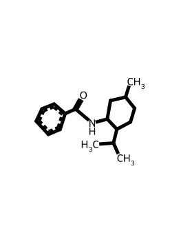 CC1CCC(C(C)C)C(NC(=O)c2ccccc2)C1